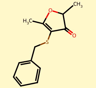 CC1=C(SCc2ccccc2)C(=O)C(C)O1